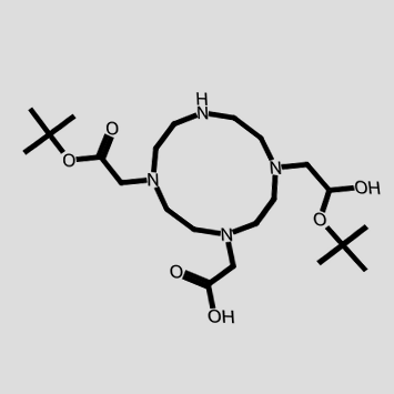 CC(C)(C)OC(=O)CN1CCNCCN(CC(O)OC(C)(C)C)CCN(CC(=O)O)CC1